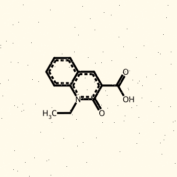 CCn1c(=O)c(C(=O)O)cc2ccccc21